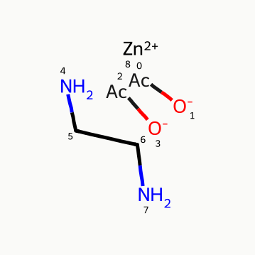 CC(=O)[O-].CC(=O)[O-].NCCN.[Zn+2]